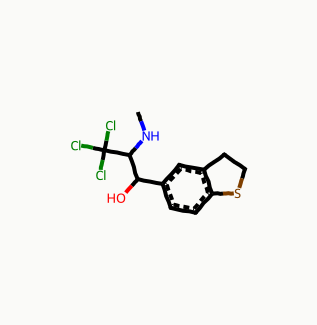 CNC(C(O)c1ccc2c(c1)CCS2)C(Cl)(Cl)Cl